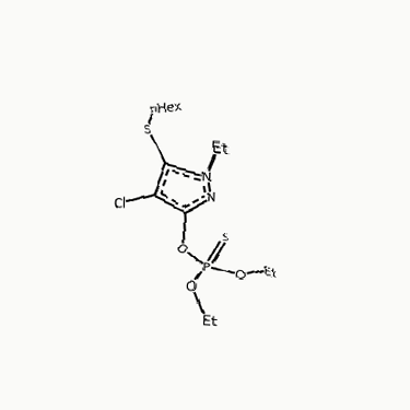 CCCCCCSc1c(Cl)c(OP(=S)(OCC)OCC)nn1CC